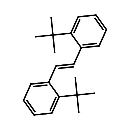 CC(C)(C)c1ccccc1/C=C/c1ccccc1C(C)(C)C